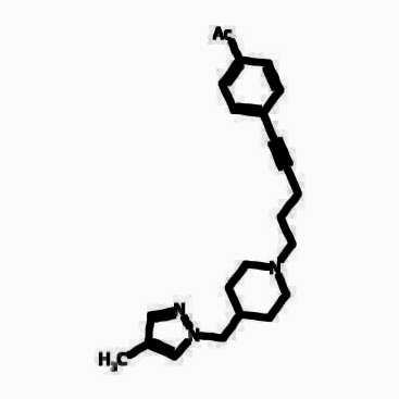 CC(=O)c1ccc(C#CCCCN2CCC(Cn3cc(C)cn3)CC2)cc1